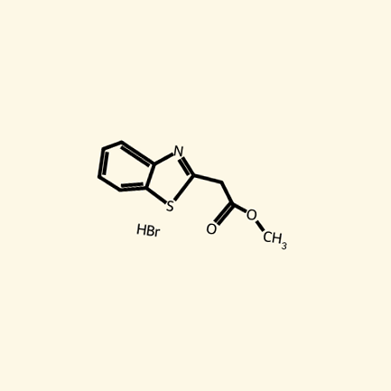 Br.COC(=O)Cc1nc2ccccc2s1